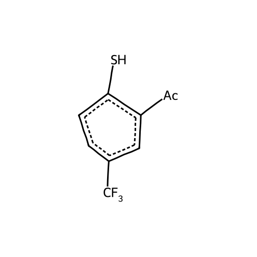 CC(=O)c1cc(C(F)(F)F)ccc1S